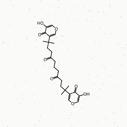 CC(C)(CCC(=O)CCCC(=O)CCC(C)(C)c1cocc(O)c1=O)c1cocc(O)c1=O